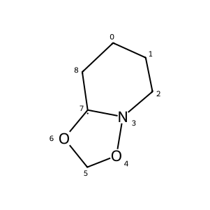 C1CCN2OCO[C]2C1